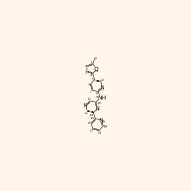 Cc1ccc(-c2ccc(Nc3cncc(-c4ccccn4)n3)nc2)o1